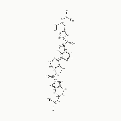 O=C(c1nc2c(s1)CN(CC(F)F)CC2)N1CCc2c(-c3cccc4c3CCN4C(=O)c3nc4c(s3)CN(CC(F)F)CC4)cccc21